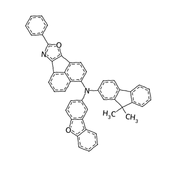 CC1(C)c2ccccc2-c2ccc(N(c3ccc4oc5ccccc5c4c3)c3ccc4c5c(cccc35)-c3nc(-c5ccccc5)oc3-4)cc21